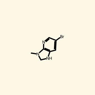 CN1CNc2cc(Br)cnc21